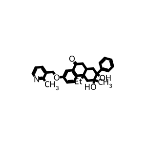 CCC12CC(C)(O)C(O)(c3ccccc3)CC1CC(=O)c1cc(OCc3cccnc3C)ccc12